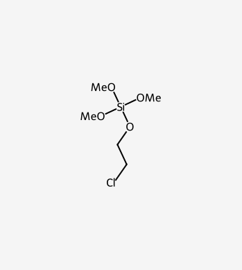 CO[Si](OC)(OC)OCCCl